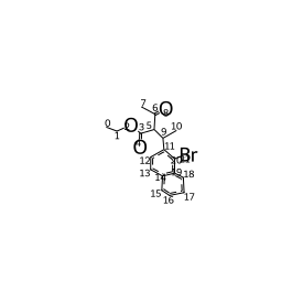 CCOC(=O)C(C(C)=O)C(C)c1ccc2ccccc2c1Br